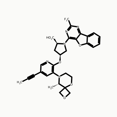 CC#Cc1cnc(O[C@H]2C[C@@H](C(=O)O)N(c3nc(C(F)(F)F)nc4c3oc3ccccc34)C2)c(N2CCOC3(COC3)[C@@H]2C)c1